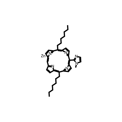 CCCCCCCC1=C2C=CC(=N2)C=C2C=CC(=N2)C(CCCCCCC)=C2C=CC(=N2)C(c2nccn2C)=C2C=CC1=N2.[Zn]